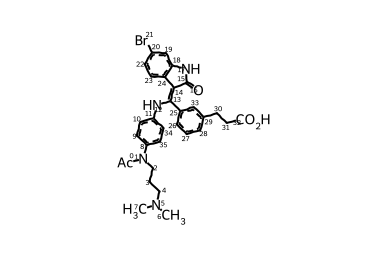 CC(=O)N(CCCN(C)C)c1ccc(NC(=C2C(=O)Nc3cc(Br)ccc32)c2cccc(CCC(=O)O)c2)cc1